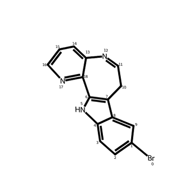 Brc1ccc2[nH]c3c(c2c1)CC=Nc1cccnc1-3